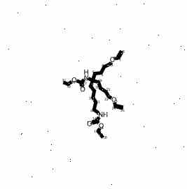 C=COCCCCC(CCCCCNC(=O)OCC)(CCCCOC=C)NC(=O)OCC